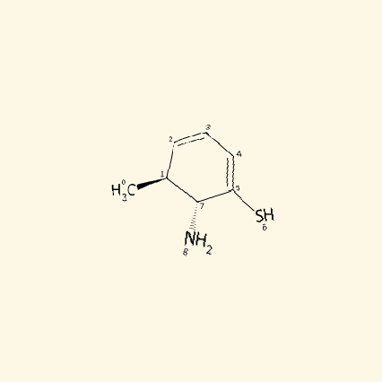 C[C@H]1C=CC=C(S)[C@@H]1N